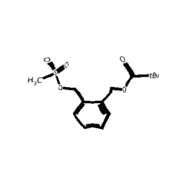 CC(C)(C)C(=O)OCc1ccccc1COS(C)(=O)=O